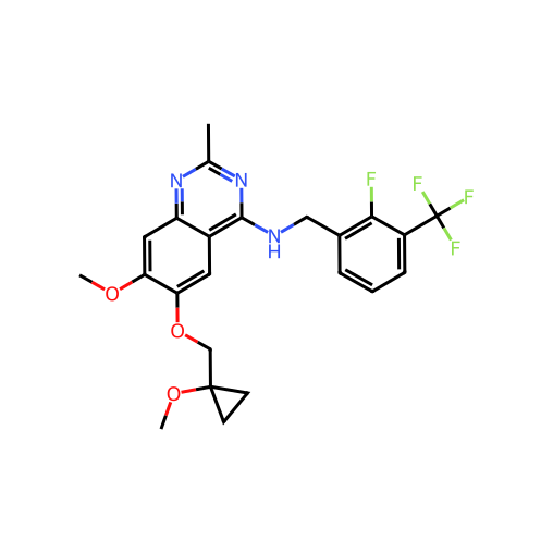 COc1cc2nc(C)nc(NCc3cccc(C(F)(F)F)c3F)c2cc1OCC1(OC)CC1